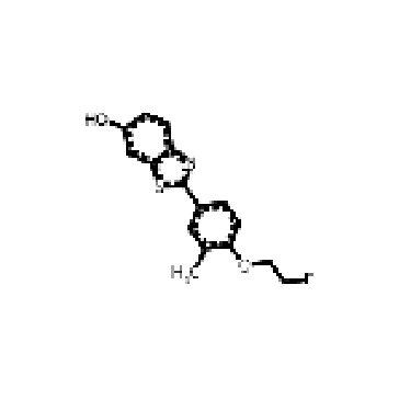 Cc1cc(-c2nc3ccc(O)cc3s2)ccc1OCCF